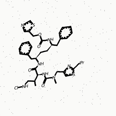 CC(C)c1nc(CN(C)C(=O)N[C@H](C(=O)N[C@H](CC[C@H](Cc2ccccc2)NC(=O)OCc2cncs2)Cc2ccccc2)C(C)CNCl)cs1